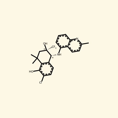 Cc1ccc2c(N[C@@H]3c4ccc(Cl)c(O)c4C(C)(C)C[C@]3(O)C(F)(F)F)cccc2n1